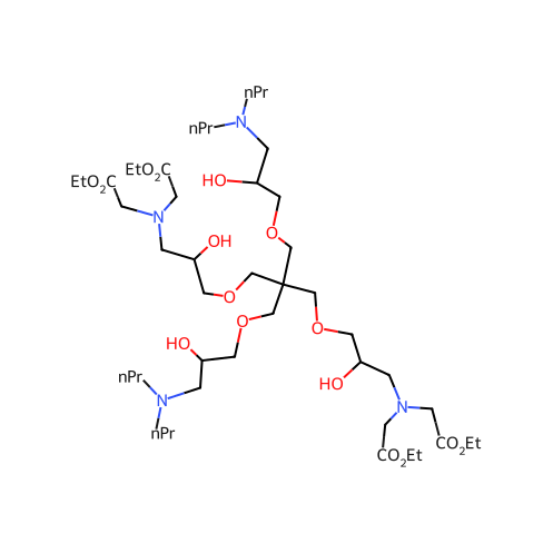 CCCN(CCC)CC(O)COCC(COCC(O)CN(CCC)CCC)(COCC(O)CN(CC(=O)OCC)CC(=O)OCC)COCC(O)CN(CC(=O)OCC)CC(=O)OCC